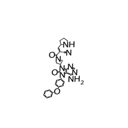 N#CC(=CC1CCCN1)C(=O)N1CC(n2c(=O)n(-c3ccc(Oc4ccccc4)cc3)c3c(N)ncnc32)C1